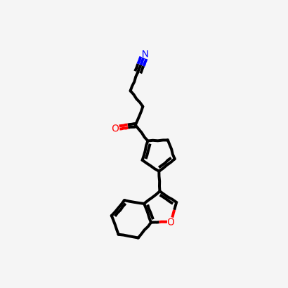 N#CCCC(=O)C1=CC(c2coc3c2C=CCC3)=CC1